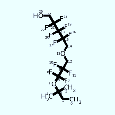 CCC(C)(C)OC(F)(F)C(F)(F)COCC(F)(F)C(F)(F)C(F)(F)CO